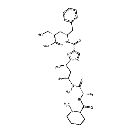 COC(=O)[C@H](CO)C[C@H](Cc1ccccc1)NC(=O)c1csc([C@@H](CC(C(C)C)N(C)C(=O)[C@@H](NC(=O)[C@H]2CCCCN2C)C(C)C)OC(C)=O)n1